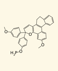 COc1ccc(C2(c3ccc(OP)cc3)C=Cc3c4c(c5ccc(OC)cc5c3O2)-c2ccccc2CC4)cc1